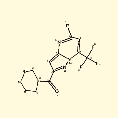 O=C(c1cc2nc(Cl)cc(C(F)(F)F)n2n1)N1CCCCC1